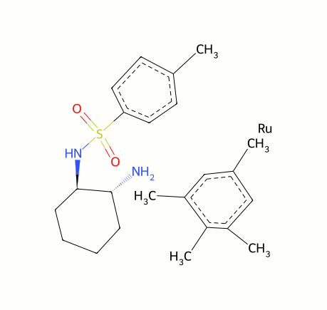 Cc1cc(C)c(C)c(C)c1.Cc1ccc(S(=O)(=O)N[C@@H]2CCCC[C@H]2N)cc1.[Ru]